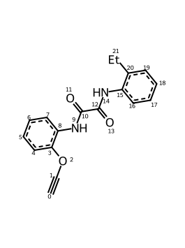 C#COc1ccccc1NC(=O)C(=O)Nc1ccccc1CC